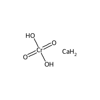 [CaH2].[O]=[Cr](=[O])([OH])[OH]